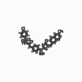 COc1ccc2cc(C=C3SC(Nc4ccc(CC(=O)NS(=O)(=O)c5ccc(Cl)cc5)cc4)=NC3=O)ccc2c1.[Na]